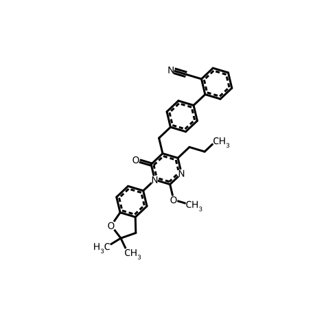 CCCc1nc(OC)n(-c2ccc3c(c2)CC(C)(C)O3)c(=O)c1Cc1ccc(-c2ccccc2C#N)cc1